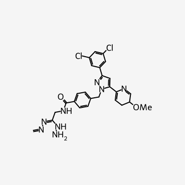 C=N/N=C(/CNC(=O)c1ccc(Cn2nc(-c3cc(Cl)cc(Cl)c3)cc2C2=CCC(OC)C=N2)cc1)NN